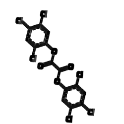 O=C(Oc1cc(Cl)c(Cl)cc1Cl)C(=O)Oc1cc(Cl)c(Cl)cc1Cl